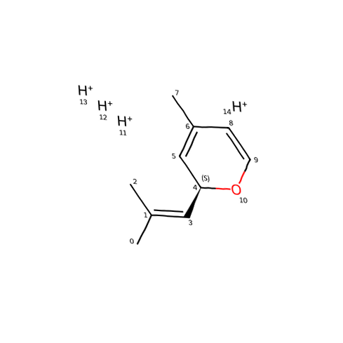 CC(C)=C[C@H]1C=C(C)C=CO1.[H+].[H+].[H+].[H+]